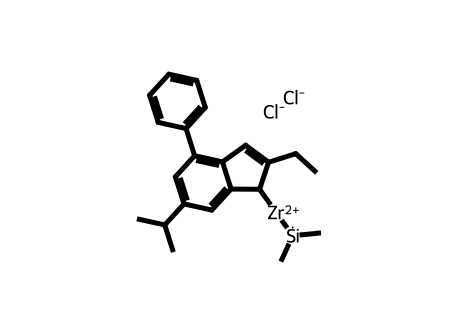 CCC1=Cc2c(-c3ccccc3)cc(C(C)C)cc2[CH]1[Zr+2][Si](C)C.[Cl-].[Cl-]